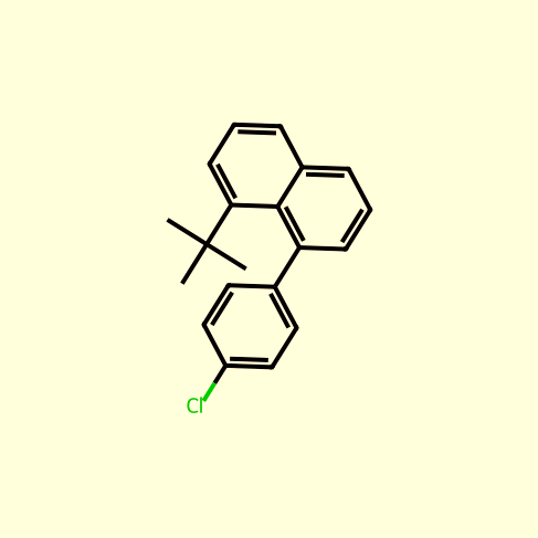 CC(C)(C)c1cccc2cccc(-c3ccc(Cl)cc3)c12